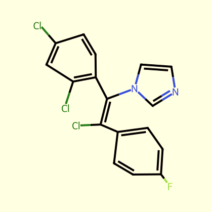 Fc1ccc(C(Cl)=C(c2ccc(Cl)cc2Cl)n2ccnc2)cc1